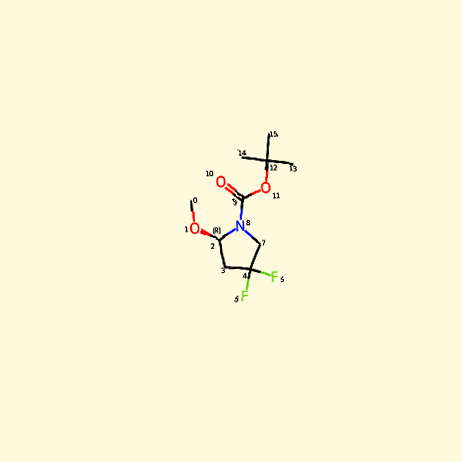 CO[C@@H]1CC(F)(F)CN1C(=O)OC(C)(C)C